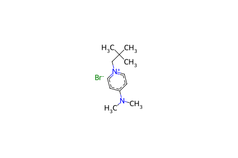 CN(C)c1cc[n+](CC(C)(C)C)cc1.[Br-]